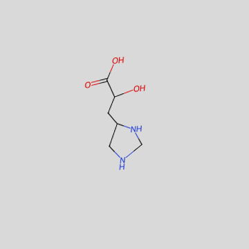 O=C(O)C(O)CC1CNCN1